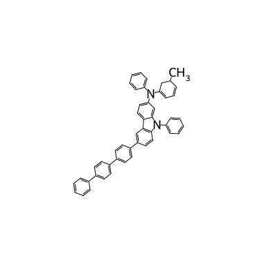 CC1C=CC=C(N(c2ccccc2)c2ccc3c4cc(-c5ccc(-c6ccc(-c7ccccc7)cc6)cc5)ccc4n(-c4ccccc4)c3c2)C1